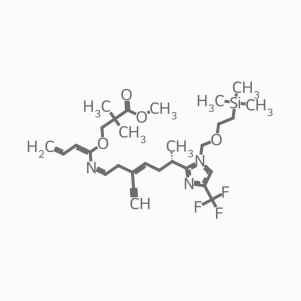 C#C/C(=C\C[C@H](C)c1nc(C(F)(F)F)cn1COCC[Si](C)(C)C)C/C=N\C(=C/C=C)OCC(C)(C)C(=O)OC